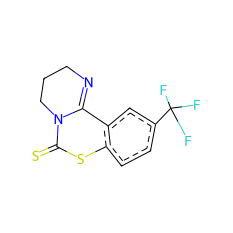 FC(F)(F)c1ccc2c(c1)C1=NCCCN1C(=S)S2